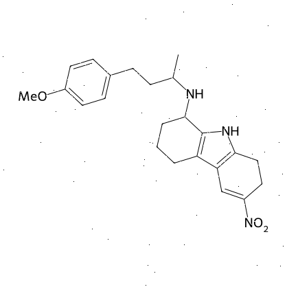 COc1ccc(CCC(C)NC2CCCc3c2[nH]c2c3C=C([N+](=O)[O-])CC2)cc1